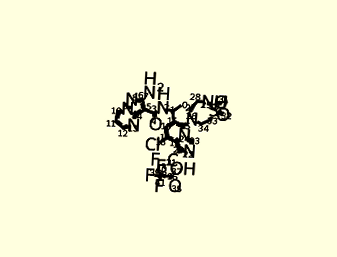 CC(NC(=O)c1c(N)nn2cccnc12)c1cc(Cl)c2c(C(F)(F)F)ncn2c1N1CCNS(=O)(=O)CC1.O=C(O)C(F)(F)F